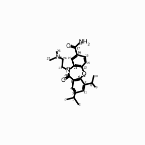 CC(C)c1cc2c(c(C(C)C)c1)Oc1ccc(C(N)=O)cc1N(CCN(C)C)C2=O